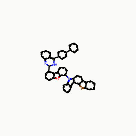 c1ccc(-c2ccc(C3=c4ccccc4=NC(c4cccc5oc6c(-n7c8ccccc8c8c9sc%10ccccc%10c9ccc87)cccc6c45)N3)cc2)cc1